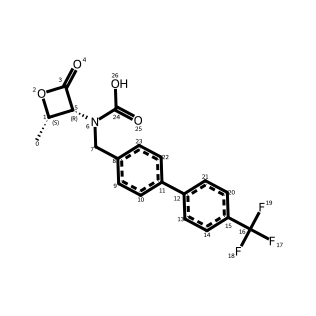 C[C@@H]1OC(=O)[C@@H]1N(Cc1ccc(-c2ccc(C(F)(F)F)cc2)cc1)C(=O)O